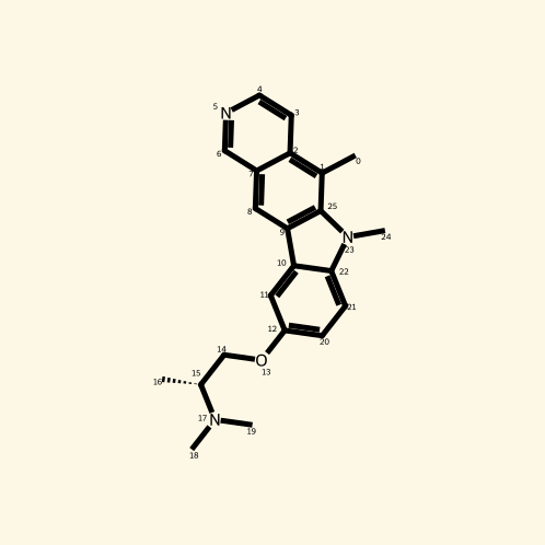 Cc1c2ccncc2cc2c3cc(OC[C@@H](C)N(C)C)ccc3n(C)c12